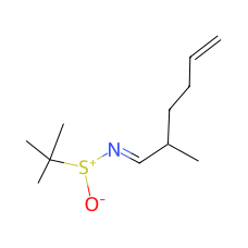 C=CCCC(C)/C=N/[S+]([O-])C(C)(C)C